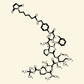 CC[C@H](C)[C@@H]([C@@H](CC(=O)N1CCC[C@H]1[C@H](OC)[C@@H](C)C(=O)N[C@@H](Cc1ccccc1)C(=O)Nc1ccc(CNC(=O)CCCCCN2C(=O)C=CC2=O)cc1)OC)N(C)C(=O)[C@@H](/N=C(/N(C)C)N1CCN(C(=O)OC(C)(C)C)CC1)C(C)C